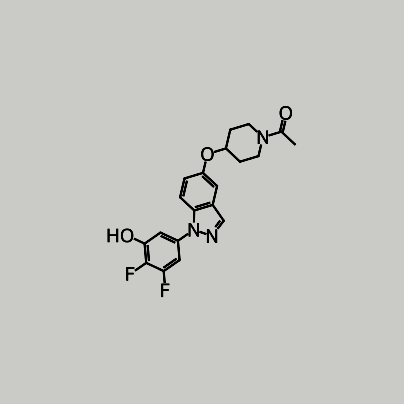 CC(=O)N1CCC(Oc2ccc3c(cnn3-c3cc(O)c(F)c(F)c3)c2)CC1